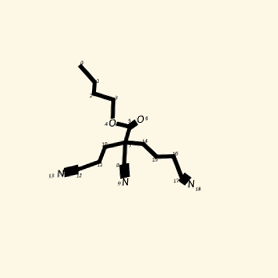 CCCCOC(=O)C(C#N)(CCC#N)CCCC#N